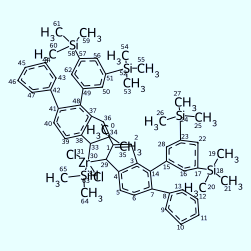 CC1=Cc2c(ccc(-c3ccccc3)c2-c2cc([Si](C)(C)C)cc([Si](C)(C)C)c2)[CH]1[Zr]([Cl])([Cl])([CH]1C(C)=Cc2c1ccc(-c1ccccc1)c2-c1cc([Si](C)(C)C)cc([Si](C)(C)C)c1)[SiH](C)C